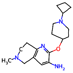 CN1CCc2nc(OC3CCN(C4CCC4)CC3)c(N)cc2C1